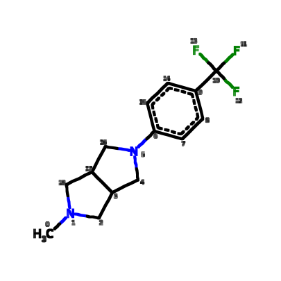 CN1CC2CN(c3ccc(C(F)(F)F)cc3)CC2C1